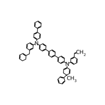 C=Cc1cccc(N(C2=CCC(C)(c3ccccc3)C=C2)c2ccc(-c3ccc(-c4ccc(N(c5ccc(-c6ccccc6)cc5)c5cccc(CC6=CC=CCC6)c5)cc4)cc3)cc2)c1